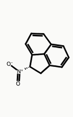 O=[N+]([O-])[C@H]1Cc2cccc3cccc1c23